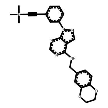 C[Si](C)(C)C#Cc1cccc(-n2ncc3c(NCc4ccc5c(c4)OCCO5)ncnc32)c1